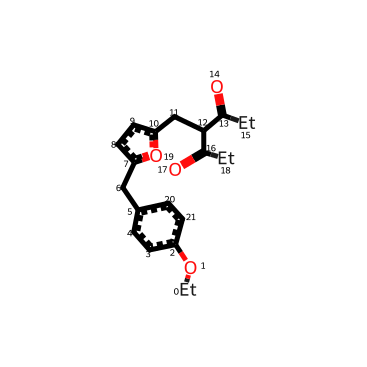 CCOc1ccc(Cc2ccc(CC(C(=O)CC)C(=O)CC)o2)cc1